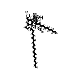 CCCCCCC=CCCCCCCCCCC(=O)NC1C(OC)OC(COC)C(OP(=O)(O)O)C1OCCC(CCCCCCC)OC